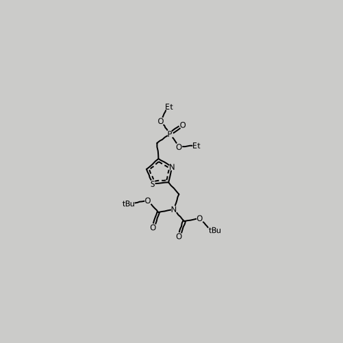 CCOP(=O)(Cc1csc(CN(C(=O)OC(C)(C)C)C(=O)OC(C)(C)C)n1)OCC